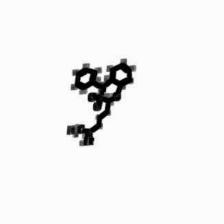 CCN(C)CCCC1Oc2ccccc2N(c2ccccc2)S1(=O)=O